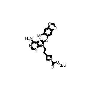 CC(C)(C)OC(=O)N1CC(CCn2c(Sc3cc4c(cc3Br)OCO4)nc3c(N)ncnc32)C1